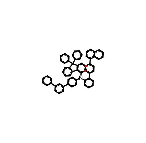 c1ccc(-c2cccc(-c3ccc(N(c4ccccc4-c4ccc(-c5cccc6ccccc56)cc4)c4cccc5c4-c4ccccc4C5(c4ccccc4)c4ccccc4)cc3)c2)cc1